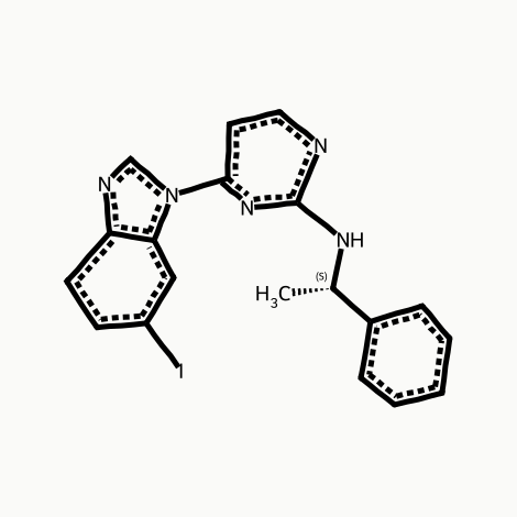 C[C@H](Nc1nccc(-n2cnc3ccc(I)cc32)n1)c1ccccc1